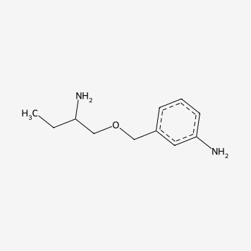 CCC(N)COCc1cccc(N)c1